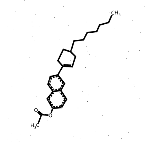 CCCCCCCC1CC=C(c2ccc3cc(OC(C)=O)ccc3c2)CC1